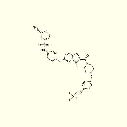 Cn1c(C(=O)N2CCN(Cc3ccc(OCC(F)(F)F)cc3)CC2)cc2ccc(Oc3ccc(NS(=O)(=O)c4cccc(C#N)c4)cn3)cc21